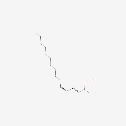 CCCCC[C@@H](/C=C/C=C\CCCCCCCCCC(=O)O)OO